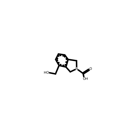 O=C(O)N1Cc2cccc(CO)c2C1